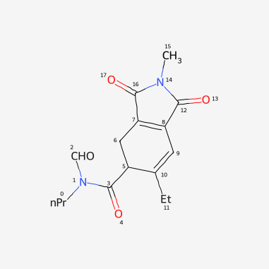 CCCN(C=O)C(=O)C1CC2=C(C=C1CC)C(=O)N(C)C2=O